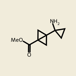 COC(=O)C12CC1(C1(N)CC1)C2